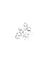 C[C@@H]1CN(c2c(C(O)[Si](c3ccccc3)(c3ccccc3)C(C)(C)C)cc(Cl)c(F)c2C(=O)c2ncccn2)C[C@H](C)O1